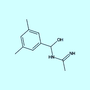 CC(=N)NC(O)c1cc(C)cc(C)c1